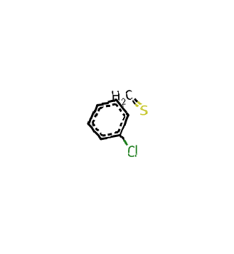 C=S.Clc1ccccc1